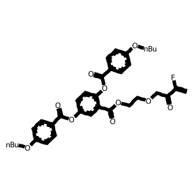 C=C(F)C(=O)COCCOC(=O)c1cc(OC(=O)c2ccc(OCCCC)cc2)ccc1OC(=O)c1ccc(OCCCC)cc1